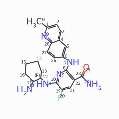 Cc1ccc2cc(Nc3nc(N[C@@H]4CCCC[C@@H]4N)c(F)cc3C(N)=O)ccc2n1